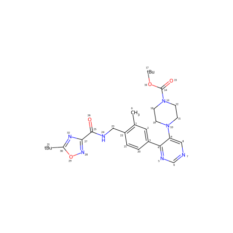 Cc1cc(-c2ncncc2N2CCN(C(=O)OC(C)(C)C)CC2)ccc1CNC(=O)c1noc(C(C)(C)C)n1